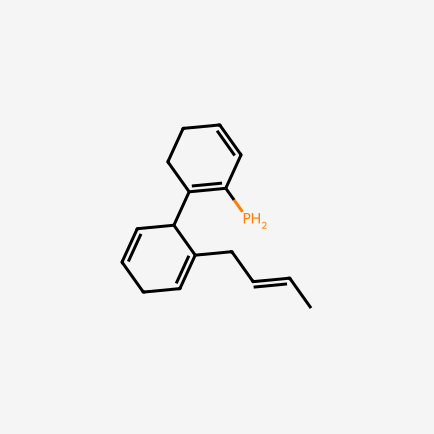 CC=CCC1=CCC=CC1C1=C(P)C=CCC1